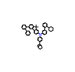 CC1(C)c2ccc(-c3ccccc3-c3ccccc3)cc2-c2ccc(N(c3ccc(C4CC5CCC4C5)cc3)c3cccc(-c4ccccc4C4CCCCC4)c3)cc21